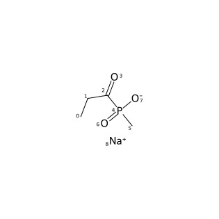 CCC(=O)P(C)(=O)[O-].[Na+]